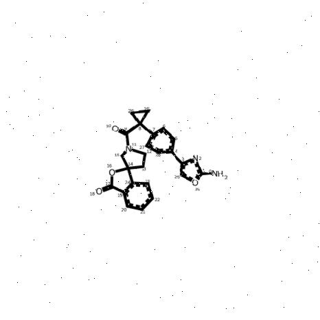 Nc1nc(-c2ccc(C3(C(=O)N4CCC5(C4)OC(=O)c4ccccc45)CC3)cc2)co1